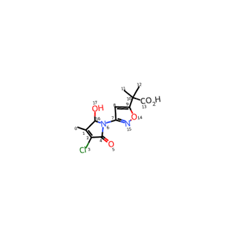 CC1=C(Cl)C(=O)N(c2cc(C(C)(C)C(=O)O)on2)C1O